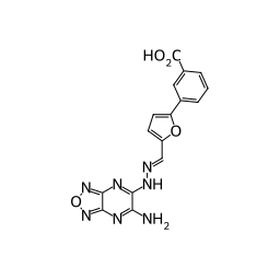 Nc1nc2nonc2nc1N/N=C/c1ccc(-c2cccc(C(=O)O)c2)o1